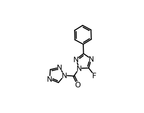 O=C(n1cncn1)n1nc(-c2ccccc2)nc1F